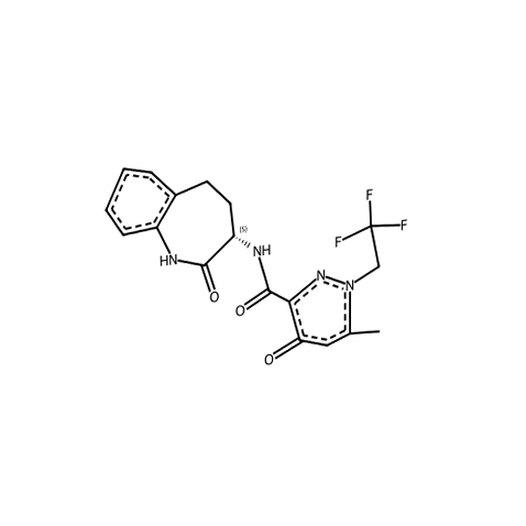 Cc1cc(=O)c(C(=O)N[C@H]2CCc3ccccc3NC2=O)nn1CC(F)(F)F